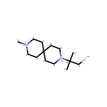 CN1CCC2(CC1)CCN(C(C)(C)CF)CC2